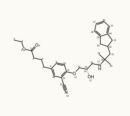 CCOC(=O)CCCc1ccc(OC[C@@H](O)CNC(C)(C)CC2Cc3ccccc3C2)c(C#N)c1